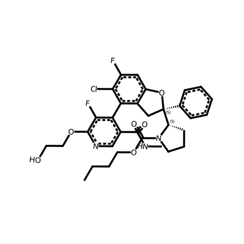 CCCCOC(=O)N1CCC[C@H]1[C@@]1(c2ccccc2)Cc2c(cc(F)c(Cl)c2-c2c(C(=O)NC)cnc(OCCO)c2F)O1